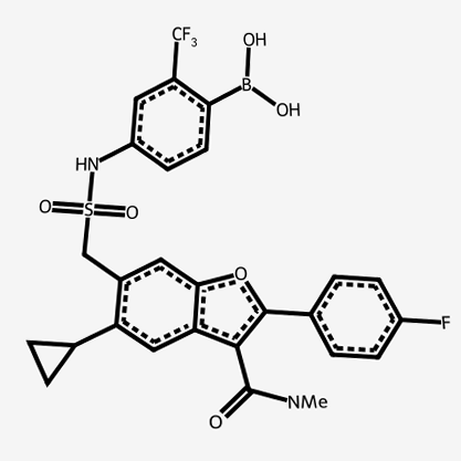 CNC(=O)c1c(-c2ccc(F)cc2)oc2cc(CS(=O)(=O)Nc3ccc(B(O)O)c(C(F)(F)F)c3)c(C3CC3)cc12